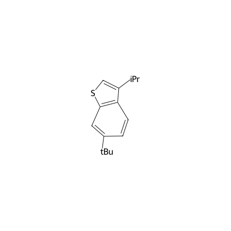 CC(C)c1csc2cc(C(C)(C)C)ccc12